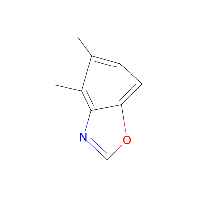 Cc1ccc2ocnc2c1C